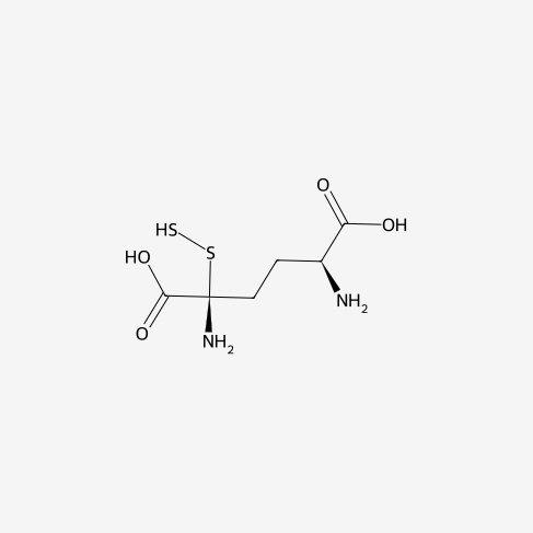 N[C@@H](CC[C@@](N)(SS)C(=O)O)C(=O)O